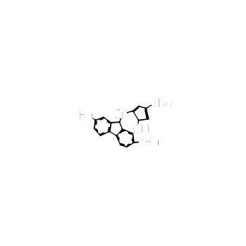 CC1C=C(C(C)(C)C)C=[C]1[Zr][CH]1c2cc(C(C)(C)C)ccc2-c2ccc(C(C)(C)C)cc21